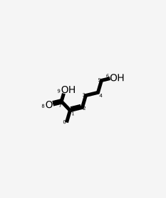 CC(=CCCCO)C(=O)O